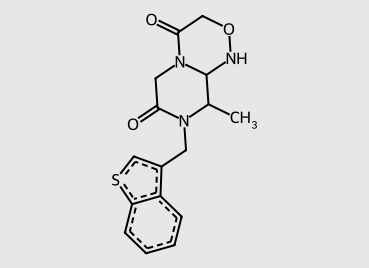 CC1C2NOCC(=O)N2CC(=O)N1Cc1csc2ccccc12